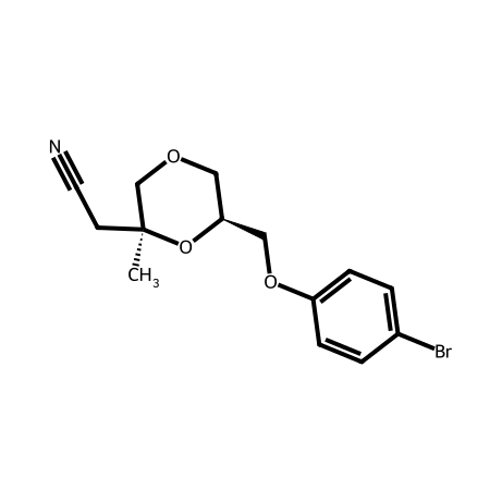 C[C@]1(CC#N)COC[C@@H](COc2ccc(Br)cc2)O1